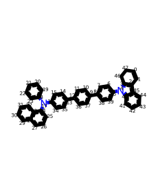 C1=Cc2c(n(-c3ccc(-c4ccc(-c5ccc(N(c6ccccc6)c6cccc7ccccc67)cc5)cc4)cc3)c3ccccc23)CC1